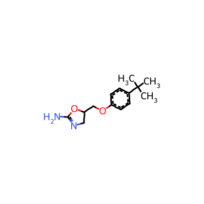 CC(C)(C)c1ccc(OCC2CN=C(N)O2)cc1